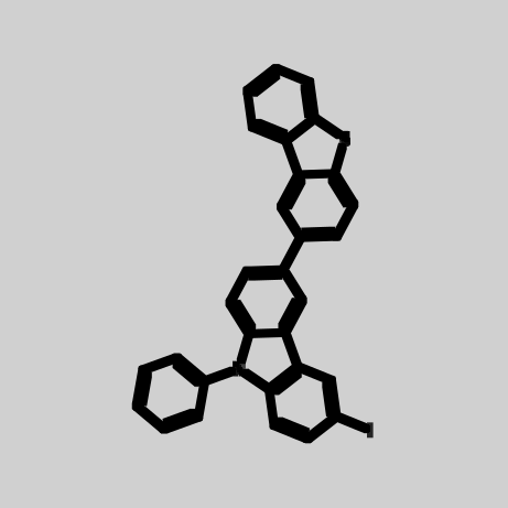 Ic1ccc2c(c1)c1cc(-c3ccc4sc5ccccc5c4c3)ccc1n2-c1ccccc1